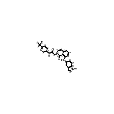 Cn1ncc2cc(Nc3cccc4ccn(CC(=O)Nc5ccc(C(F)(F)F)nc5)c(=O)c34)ccc21